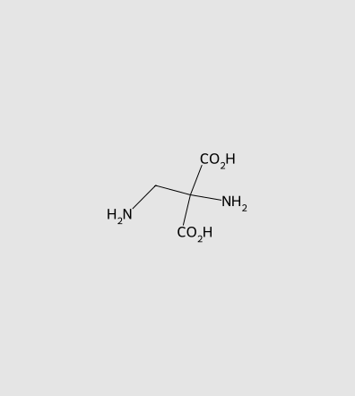 NCC(N)(C(=O)O)C(=O)O